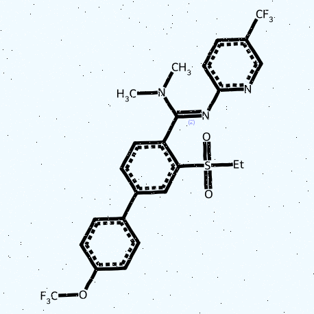 CCS(=O)(=O)c1cc(-c2ccc(OC(F)(F)F)cc2)ccc1/C(=N/c1ccc(C(F)(F)F)cn1)N(C)C